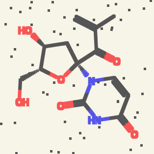 C=C(C)C(=O)[C@]1(n2ccc(=O)[nH]c2=O)C[C@H](O)[C@@H](CO)O1